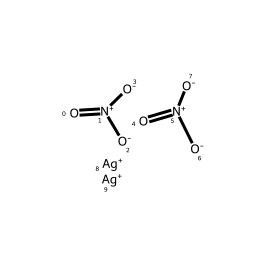 O=[N+]([O-])[O-].O=[N+]([O-])[O-].[Ag+].[Ag+]